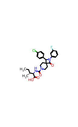 CC[C@@H](C)[C@@H](NC(=O)N1CCC2(CC1)C(=O)N(c1cccc(F)c1)C2c1ccc(Cl)cc1)C(=O)O